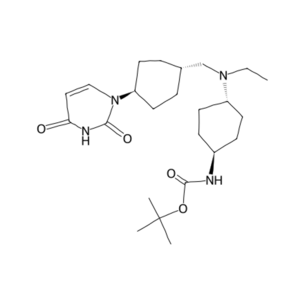 CCN(C[C@H]1CC[C@H](n2ccc(=O)[nH]c2=O)CC1)[C@H]1CC[C@H](NC(=O)OC(C)(C)C)CC1